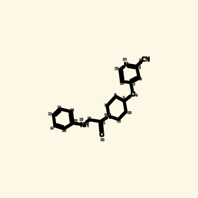 N#Cc1cc(OC2CCN(C(=O)CNc3ccccc3)CC2)ccn1